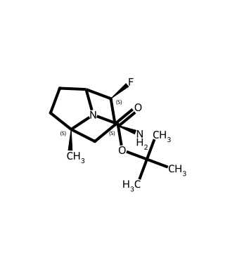 CC(C)(C)OC(=O)N1C2CC[C@@]1(C)C[C@H](N)[C@@H]2F